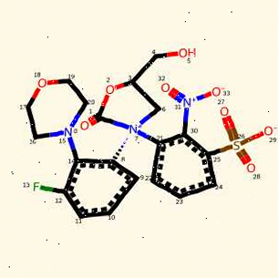 O=C1OC(CO)C[N@@+]1(c1cccc(F)c1N1CCOCC1)c1cccc(S(=O)(=O)[O-])c1[N+](=O)[O-]